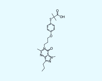 CCCc1nn(C)c2c(=O)n(CCCOc3ccc(SC(C)(C)C(=O)O)cc3)c(C)nc12